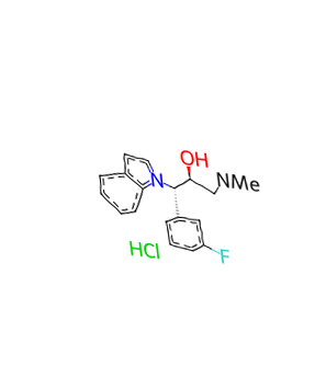 CNC[C@H](O)[C@H](c1cccc(F)c1)n1ccc2ccccc21.Cl